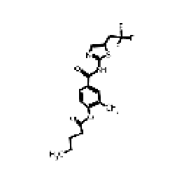 CCCCC(=O)Oc1ccc(C(=O)Nc2ncc(CC(F)(F)F)s2)cc1C